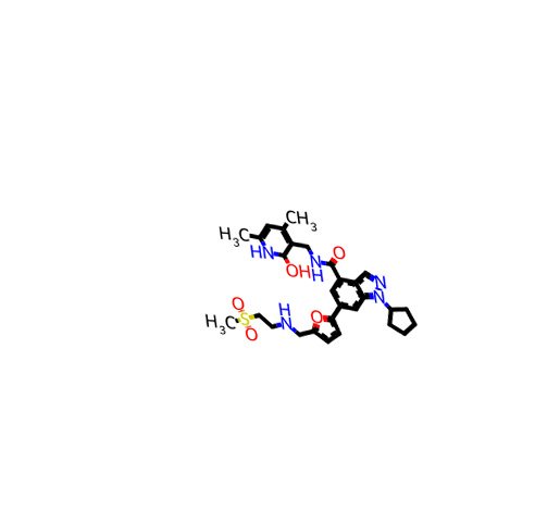 CC1=CC(C)=C(CNC(=O)c2cc(-c3ccc(CNCCS(C)(=O)=O)o3)cc3c2cnn3C2CCCC2)C(O)N1